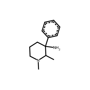 CC1N(C)CCCC1(N)c1ccccc1